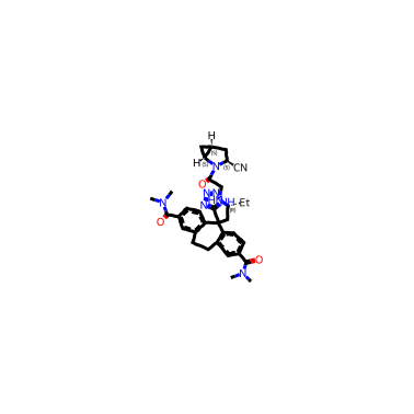 CC[C@H](CC1(c2nnn[nH]2)c2ccc(C(=O)N(C)C)cc2CCc2cc(C(=O)N(C)C)ccc21)NCC(=O)N1[C@H](C#N)C[C@@H]2C[C@@H]21